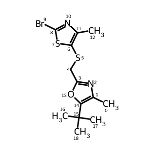 Cc1nc(CSc2sc(Br)nc2C)oc1C(C)(C)C